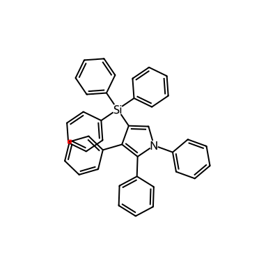 c1ccc(-c2c([Si](c3ccccc3)(c3ccccc3)c3ccccc3)cn(-c3ccccc3)c2-c2ccccc2)cc1